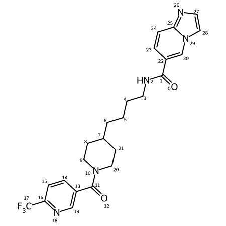 O=C(NCCCCC1CCN(C(=O)c2ccc(C(F)(F)F)nc2)CC1)c1ccc2nccn2c1